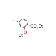 [CH2]c1ccc(C(=O)OCC)c(OCC)c1